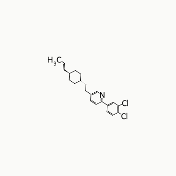 C/C=C/[C@H]1CC[C@H](CCc2ccc(-c3ccc(Cl)c(Cl)c3)nc2)CC1